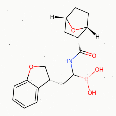 O=C(NC(C[C@H]1COc2ccccc21)B(O)O)[C@@H]1C[C@@H]2CC[C@H]1O2